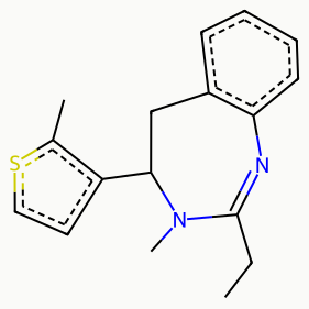 CCC1=Nc2ccccc2CC(c2ccsc2C)N1C